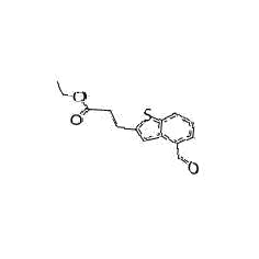 CCOC(=O)CCc1cc2c(C=O)cccc2s1